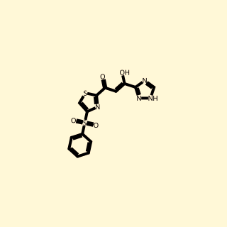 O=C(C=C(O)c1nc[nH]n1)c1nc(S(=O)(=O)c2ccccc2)cs1